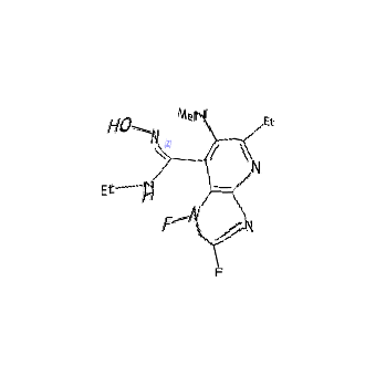 CCN/C(=N\O)c1c(NC)c(CC)nc2nc(F)n(F)c12